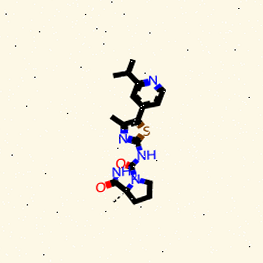 Cc1nc(NC(=O)N2CCC[C@@]2(C)C(N)=O)sc1-c1ccnc(C(C)C)c1